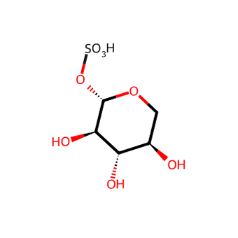 O=S(=O)(O)O[C@@H]1OC[C@@H](O)[C@H](O)[C@H]1O